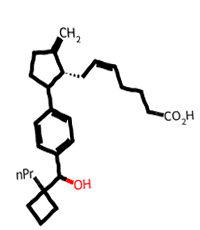 C=C1CCC(c2ccc(C(O)C3(CCC)CCC3)cc2)[C@H]1C/C=C\CCCC(=O)O